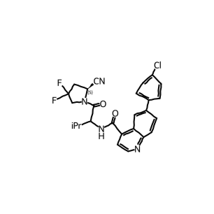 CC(C)C(NC(=O)c1ccnc2ccc(-c3ccc(Cl)cc3)cc12)C(=O)N1CC(F)(F)C[C@H]1C#N